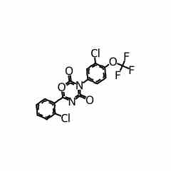 O=c1nc(-c2ccccc2Cl)oc(=O)n1-c1ccc(OC(F)(F)F)c(Cl)c1